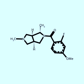 COc1ccc(C(=O)N2C[C@H]3CN(C)C[C@H]3[C@@H]2C)c(F)c1